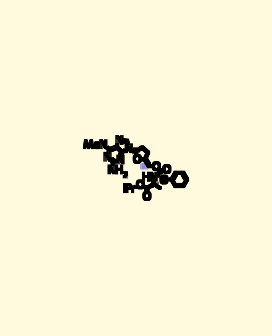 CNc1nc(N)nc2c1ncn2[C@H]1CC/C(=C\OP(=O)(N[C@@H](C)C(=O)OC(C)C)Oc2ccccc2)O1